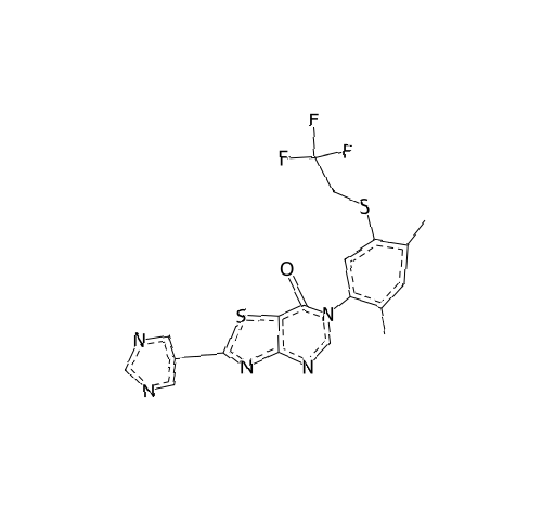 Cc1cc(C)c(-n2cnc3nc(-c4cncnc4)sc3c2=O)cc1SCC(F)(F)F